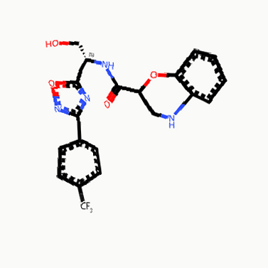 O=C(N[C@@H](CO)c1nc(-c2ccc(C(F)(F)F)cc2)no1)C1CNc2ccccc2O1